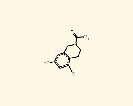 O=C(N1CCc2c(O)cc(O)nc2C1)C(F)(F)F